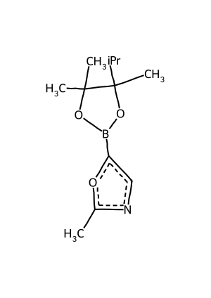 Cc1ncc(B2OC(C)(C)C(C)(C(C)C)O2)o1